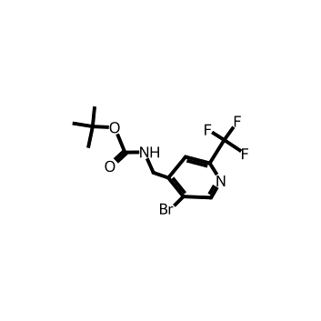 CC(C)(C)OC(=O)NCc1cc(C(F)(F)F)ncc1Br